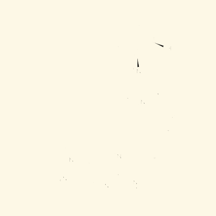 O[C@@H]1COC[C@@H]1N1CCN(c2cc3nc(Nc4cnn(C(F)F)c4)ncc3cc2Cl)CC1